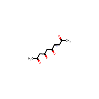 CC(=O)/C=C/C(=O)CC(=O)CC(C)=O